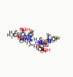 CCC(CCC1CC1c1cc(C(=O)N[C@H]2CC(C(=O)O)=C[C@@H](OC(CC)CC)[C@@H]2NC(C)=O)n(-c2ccc(Br)cc2)n1)O[C@@H]1C=C(C(=O)O)C[C@H](NC(=O)c2cc(C3CC3)n(-c3ccc(Br)cc3)n2)[C@H]1NC(C)=O